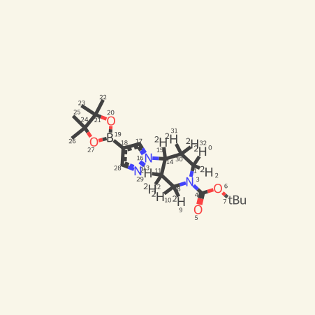 [2H]C1([2H])N(C(=O)OC(C)(C)C)C([2H])([2H])C([2H])([2H])C([2H])(n2cc(B3OC(C)(C)C(C)(C)O3)cn2)C1([2H])[2H]